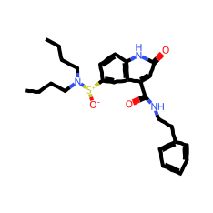 CCCCN(CCCC)[S+]([O-])c1ccc2[nH]c(=O)cc(C(=O)NCCc3ccccc3)c2c1